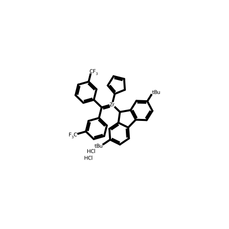 CC(C)(C)c1ccc2c(c1)[CH]([Zr]([C]1=CC=CC1)=[C](c1cccc(C(F)(F)F)c1)c1cccc(C(F)(F)F)c1)c1cc(C(C)(C)C)ccc1-2.Cl.Cl